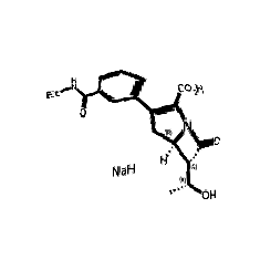 CCNC(=O)c1cccc(C2=C(C(=O)O)N3C(=O)[C@H]([C@@H](C)O)[C@H]3C2)c1.[NaH]